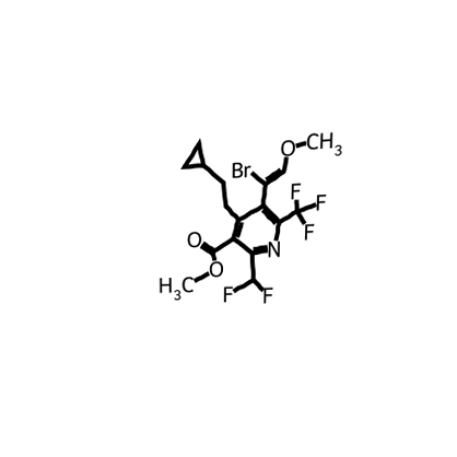 COC=C(Br)c1c(C(F)(F)F)nc(C(F)F)c(C(=O)OC)c1CCC1CC1